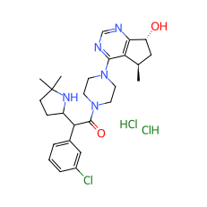 C[C@@H]1C[C@@H](O)c2ncnc(N3CCN(C(=O)C(c4cccc(Cl)c4)C4CCC(C)(C)N4)CC3)c21.Cl.Cl